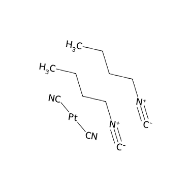 N#[C][Pt][C]#N.[C-]#[N+]CCCC.[C-]#[N+]CCCC